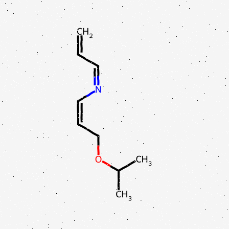 C=C/C=N\C=C/COC(C)C